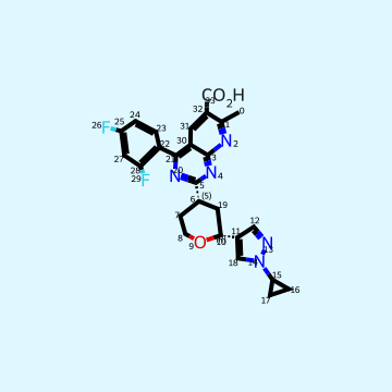 Cc1nc2nc([C@H]3CCO[C@@H](c4cnn(C5CC5)c4)C3)nc(-c3ccc(F)cc3F)c2cc1C(=O)O